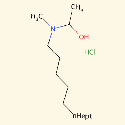 CCCCCCCCCCCCN(C)C(C)O.Cl